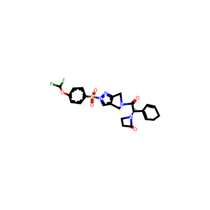 O=C([C@@H](C1=CCCC=C1)N1CCC1=O)N1Cc2cn(S(=O)(=O)c3ccc(OC(F)F)cc3)nc2C1